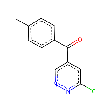 Cc1ccc(C(=O)c2cnnc(Cl)c2)cc1